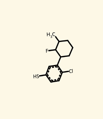 CC1CCCC(c2cc(S)ccc2Cl)C1F